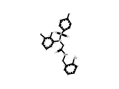 Cc1ccc(S(=O)(=O)N(CC(=O)NCc2ccccc2N=O)c2cccc(C)c2C)cc1